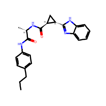 CCCc1ccc(NC(=O)[C@H](C)NC(=O)[C@H]2C[C@@H]2c2nc3ccccc3[nH]2)cc1